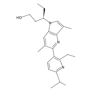 CCc1nc(C(C)C)ccc1-c1nc2c(C)cn([C@H](CC)CCO)c2cc1C